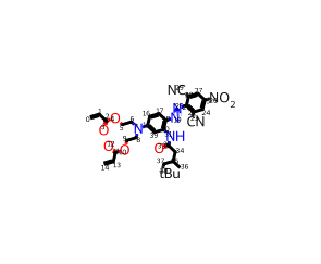 C=CC(=O)OCCN(CCOC(=O)C=C)c1ccc(/N=N/c2c(C#N)cc([N+](=O)[O-])cc2C#N)c(NC(=O)CC(C)CC(C)(C)C)c1